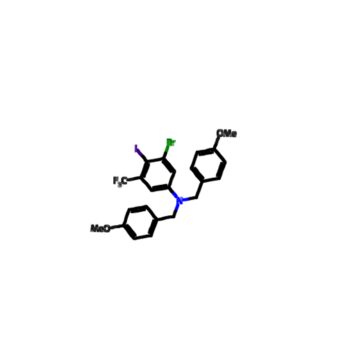 COc1ccc(CN(Cc2ccc(OC)cc2)c2cc(Br)c(I)c(C(F)(F)F)c2)cc1